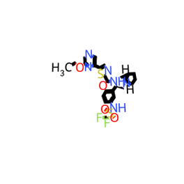 CCOc1cncc(-c2cnc(C(=O)N[C@@H](CN3C[C@H]4CC[C@@H]3C4)c3cccc(NS(=O)(=O)C(F)F)c3)s2)n1